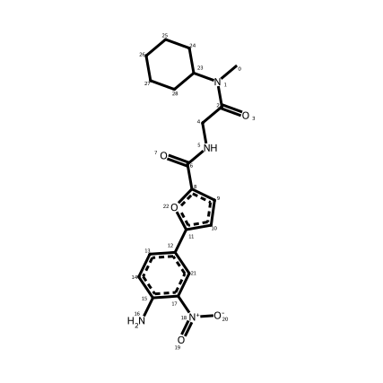 CN(C(=O)CNC(=O)c1ccc(-c2ccc(N)c([N+](=O)[O-])c2)o1)C1CCCCC1